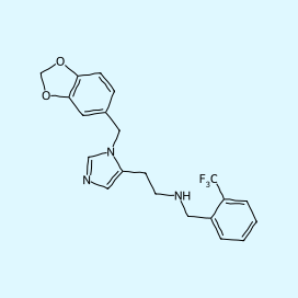 FC(F)(F)c1ccccc1CNCCc1cncn1Cc1ccc2c(c1)OCO2